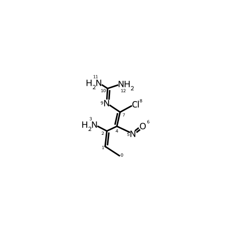 C/C=C(N)\C(N=O)=C(\Cl)N=C(N)N